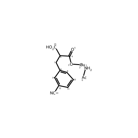 CC(N)=O.CCC(C)OC(=O)C(Cc1cccc(C#N)c1)C(=O)O